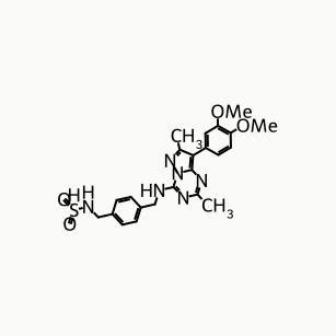 COc1ccc(-c2c(C)nn3c(NCc4ccc(CN[SH](=O)=O)cc4)nc(C)nc23)cc1OC